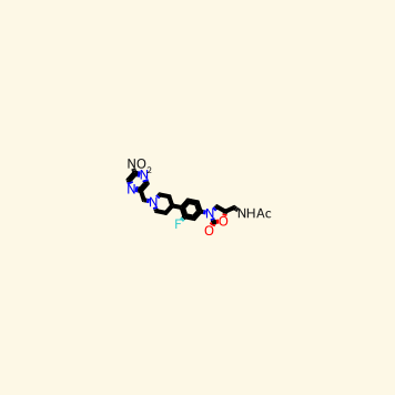 CC(=O)NCC1CN(c2ccc(C3CCN(Cc4cnc([N+](=O)[O-])cn4)CC3)c(F)c2)C(=O)O1